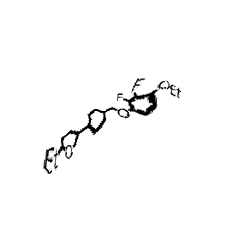 CCOc1ccc(OCC2CCC(C3CCC(CC)OC3)CC2)c(F)c1F